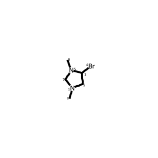 CN1CC(Br)N(C)C1